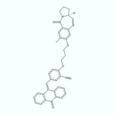 COc1cc(C=C2c3ccccc3C(=O)c3ccccc32)ccc1OCCCOc1cc2c(cc1C)C(=O)N1CCC[C@H]1C=N2